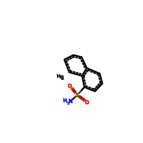 NS(=O)(=O)c1cccc2ccccc12.[Hg]